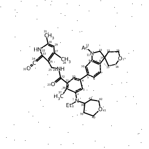 CCN(c1cc(-c2ccc3c(c2)N(C(C)=O)CC32CCOCC2)cc(C(=O)NCC2=C(C)C=C(C)NC2=C=O)c1C)C1CCOCC1